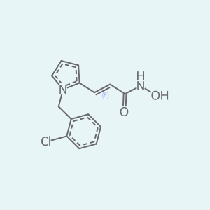 O=C(/C=C/c1cccn1Cc1ccccc1Cl)NO